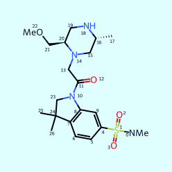 CNS(=O)(=O)c1ccc2c(c1)N(C(=O)CN1C[C@@H](C)NC[C@@H]1COC)CC2(C)C